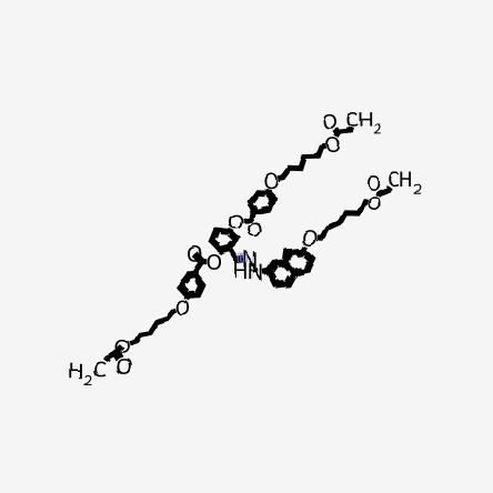 C=CC(=O)OCCCCCCOc1ccc(C(=O)Oc2ccc(OC(=O)c3ccc(OCCCCCCOC(=O)C=C)cc3)c(/C=N/Nc3ccc4ccc(OCCCCCCOC(=O)C=C)cc4c3)c2)cc1